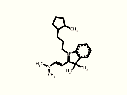 CC1CCCC1CCC[N+]1=C(/C=C/N(C)C)C(C)(C)c2ccccc21